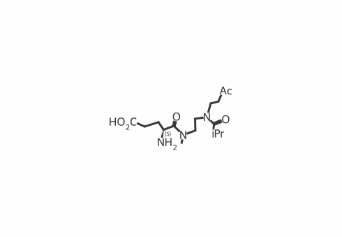 CC(=O)CCN(CCN(C)C(=O)[C@@H](N)CCC(=O)O)C(=O)C(C)C